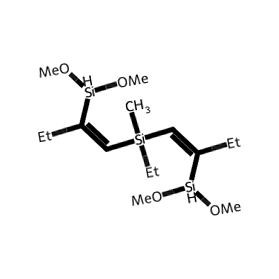 CCC(=C[Si](C)(C=C(CC)[SiH](OC)OC)CC)[SiH](OC)OC